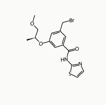 COC[C@H](C)Oc1cc(CBr)cc(C(=O)Nc2nccs2)c1